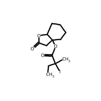 CCC(C)(I)C(=O)OC12CCCCC1OC(=O)C2